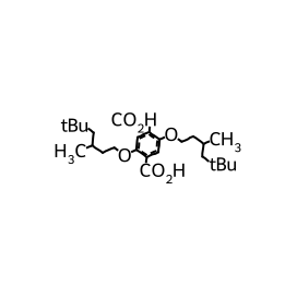 CC(CCOc1cc(C(=O)O)c(OCCC(C)CC(C)(C)C)cc1C(=O)O)CC(C)(C)C